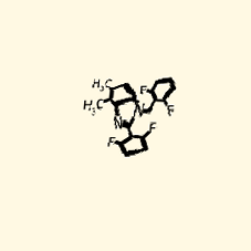 Cc1ccc2c(nc(-c3c(F)cccc3F)n2Cc2c(F)cccc2F)c1C